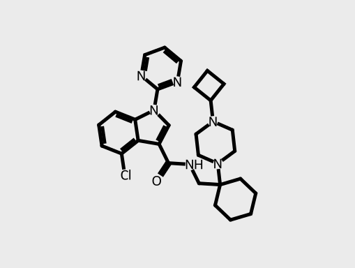 O=C(NCC1(N2CCN(C3CCC3)CC2)CCCCC1)c1cn(-c2ncccn2)c2cccc(Cl)c12